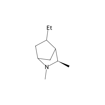 CCC1CC2CC1[C@@H](C)N2C